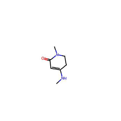 CNC1=CC(=O)N(C)CC1